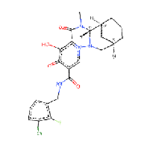 CN1C(=O)c2c(O)c(=O)c(C(=O)NCc3cccc(Cl)c3F)cn2N2C[C@@H]3CCC[C@@H](C3)[C@@H]12